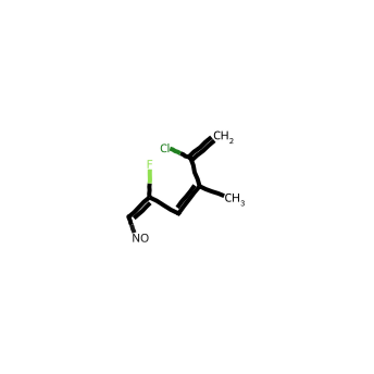 C=C(Cl)/C(C)=C\C(F)=C/N=O